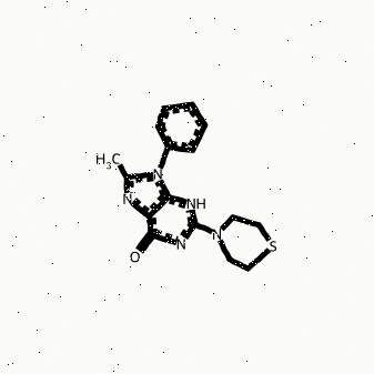 Cc1nc2c(=O)nc(N3CCSCC3)[nH]c2n1-c1ccccc1